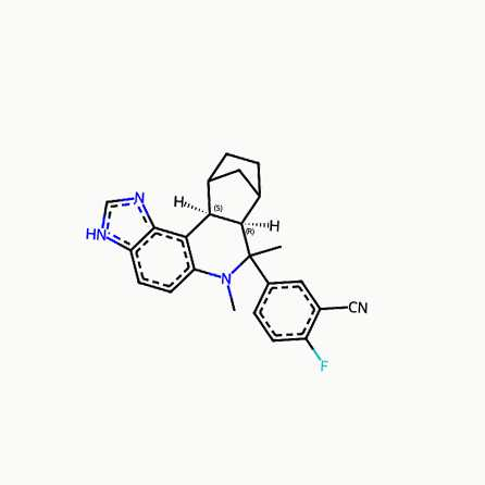 CN1c2ccc3[nH]cnc3c2[C@H]2C3CCC(C3)[C@H]2C1(C)c1ccc(F)c(C#N)c1